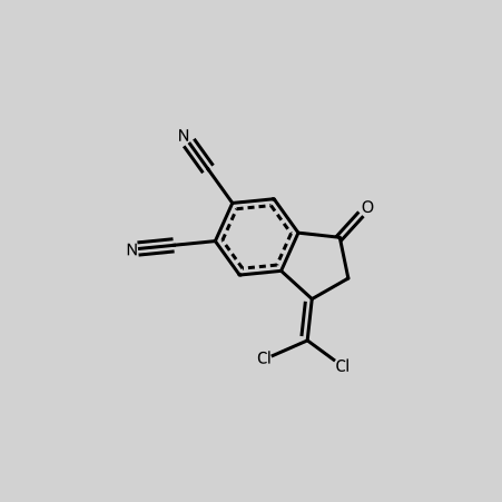 N#Cc1cc2c(cc1C#N)C(=C(Cl)Cl)CC2=O